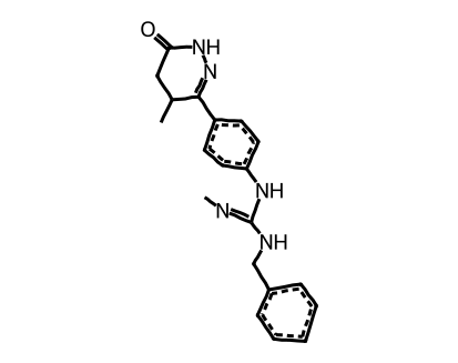 CN=C(NCc1ccccc1)Nc1ccc(C2=NNC(=O)CC2C)cc1